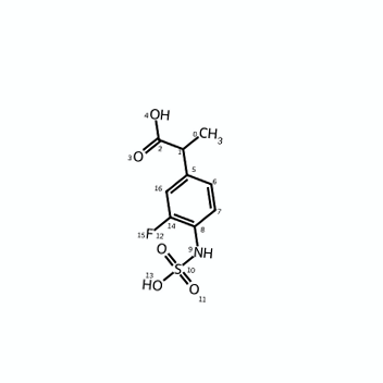 CC(C(=O)O)c1ccc(NS(=O)(=O)O)c(F)c1